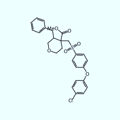 COC(=O)C1(CS(=O)(=O)c2ccc(Oc3ccc(Cl)cc3)cc2)CCOCC1Cc1ccccc1